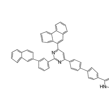 c1cc(-c2ccc3ccccc3c2)cc(-c2nc(-c3ccc(-c4ccc(-c5ccc[nH]5)cc4)cc3)cc(-c3cc4ccccc4c4ccccc34)n2)c1